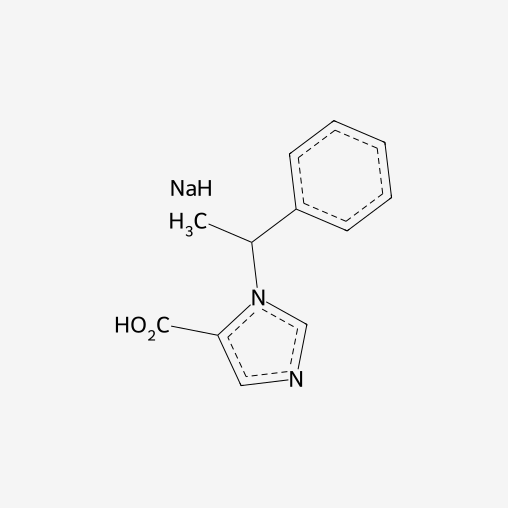 CC(c1ccccc1)n1cncc1C(=O)O.[NaH]